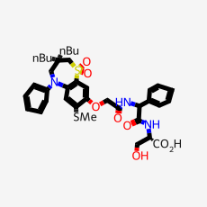 CCCCC1(CCCC)CN(c2ccccc2)c2cc(SC)c(OCC(=O)NC(C(=O)N[C@H](CO)C(=O)O)c3ccccc3)cc2S(=O)(=O)C1